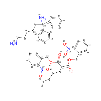 CCCCCC(C(=O)OCc1ccccc1[N+](=O)[O-])C(=O)OCc1ccccc1[N+](=O)[O-].NCCCCCC(N)(c1ccccc1)c1ccccc1